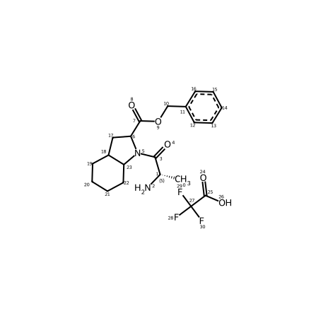 C[C@H](N)C(=O)N1C(C(=O)OCc2ccccc2)CC2CCCCC21.O=C(O)C(F)(F)F